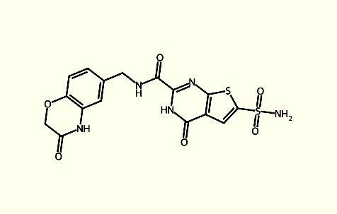 NS(=O)(=O)c1cc2c(=O)[nH]c(C(=O)NCc3ccc4c(c3)NC(=O)CO4)nc2s1